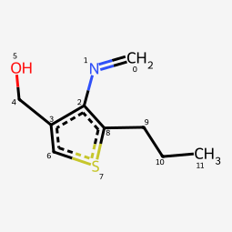 C=Nc1c(CO)csc1CCC